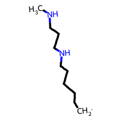 [CH2]CCCCCNCCCNC